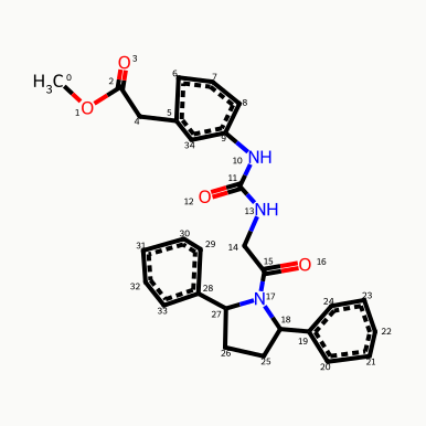 COC(=O)Cc1cccc(NC(=O)NCC(=O)N2C(c3ccccc3)CCC2c2ccccc2)c1